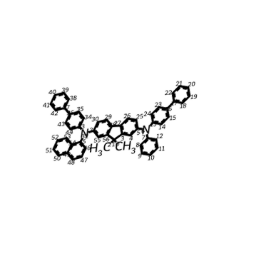 CC1(C)c2cc(N(c3ccccc3)c3ccc(-c4ccccc4)cc3)ccc2-c2ccc(N(c3ccc(-c4ccccc4)cc3)c3cccc4ccccc34)cc21